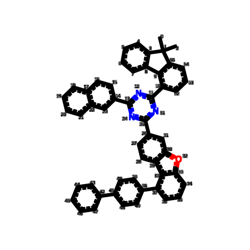 CC1(C)c2ccccc2-c2c(-c3nc(-c4ccc5ccccc5c4)nc(-c4ccc5c(c4)oc4cccc(-c6ccc(-c7ccccc7)cc6)c45)n3)cccc21